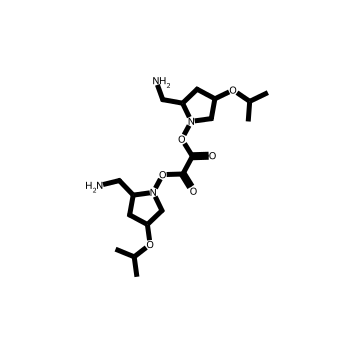 CC(C)OC1CC(CN)N(OC(=O)C(=O)ON2CC(OC(C)C)CC2CN)C1